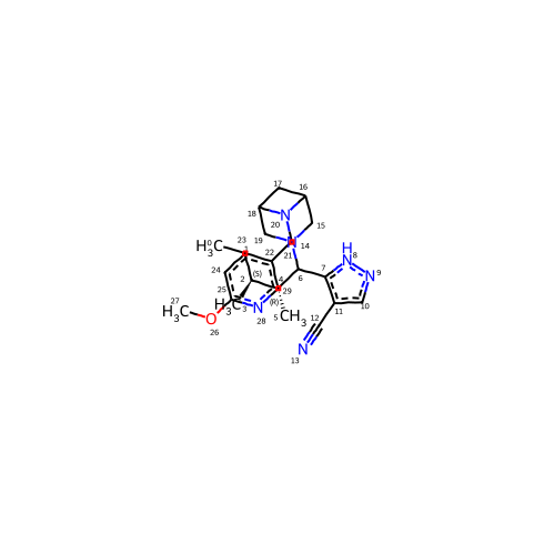 CC[C@H](C)[C@@H](C)C(c1[nH]ncc1C#N)N1CC2CC(C1)N2Cc1ccc(OC)nc1